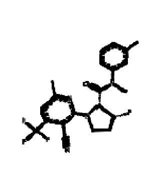 Cc1cccc(N(C)C(=O)[C@@H]2[C@H](F)CCN2c2nc(C)cc(C(F)(F)F)c2C#N)c1